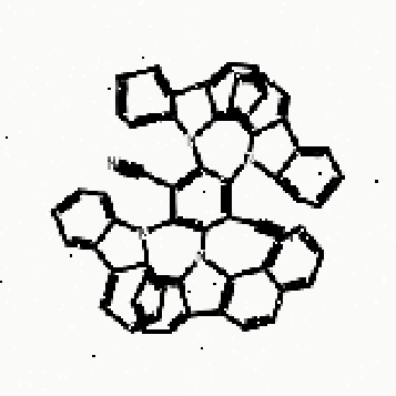 N#Cc1c(-n2c3ccccc3c3ccccc32)c(-n2c3ccccc3c3ccccc32)c(C#N)c(-n2c3ccccc3c3ccc4ccccc4c32)c1-n1c2ccccc2c2ccccc21